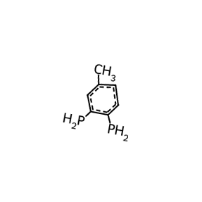 Cc1ccc(P)c(P)c1